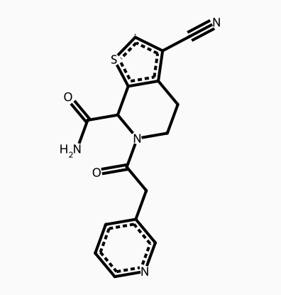 N#Cc1[c]sc2c1CCN(C(=O)Cc1cccnc1)C2C(N)=O